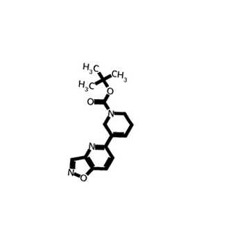 CC(C)(C)OC(=O)N1CCC=C(c2ccc3oncc3n2)C1